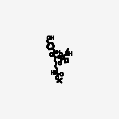 CCNC(=O)C1(C(=O)N[C@@H](CCCCNC(=O)OC(C)(C)C)C(=O)Nc2ccc(CO)cc2)CCC1